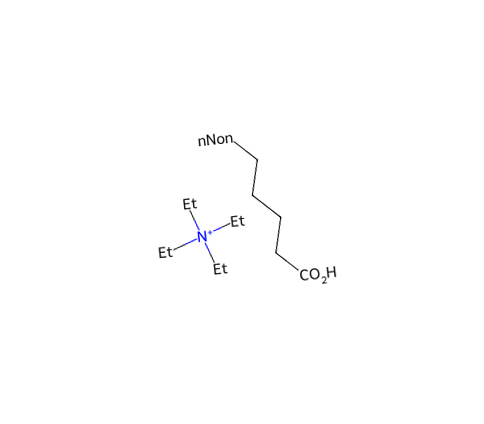 CCCCCCCCCCCCCC(=O)O.CC[N+](CC)(CC)CC